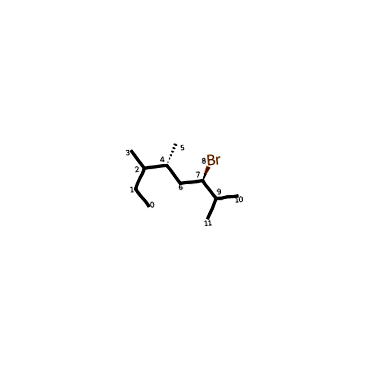 CCC(C)[C@H](C)C[C@@H](Br)C(C)C